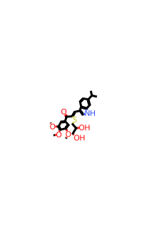 COc1cc(C(=O)C(=Cc2c[nH]c3cc(C(C)C)ccc23)SCC(O)CO)cc(OC)c1OC